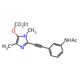 CCOC(=O)Oc1c(C)nc(C#Cc2cccc(NC(C)=O)c2)n1C